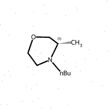 CCCCN1CCOC[C@@H]1C